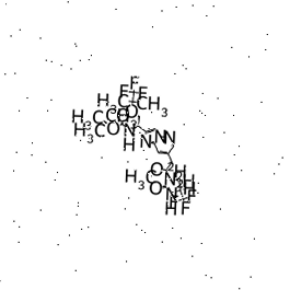 [2H]C1([2H])N([C@H](Cc2cnn3cc([C@H](COC(C)(C)C(F)(F)F)NC(=O)OC(C)(C)C)nc3c2)OC)C(=O)N[C@]1([2H])C(F)(F)F